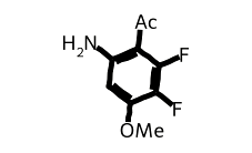 COc1cc(N)c(C(C)=O)c(F)c1F